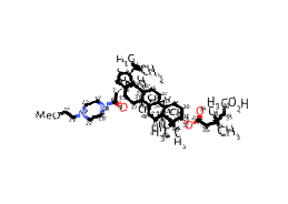 C=C(C)[C@@H]1CC[C@]2(CC(=O)N3CCN(CCOC)CC3)CC[C@]3(C)[C@H](CC[C@@H]4[C@@]5(C)CC[C@H](OC(=O)CC(C)(C)CC(=O)O)C(C)(C)[C@@H]5CC[C@]43C)[C@@H]12